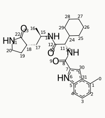 Cc1cccc2[nH]c(C(=O)N[C@H](C(=O)N[C@H](C)C[C@@H]3CCNC3=O)C3CCCCC3)cc12